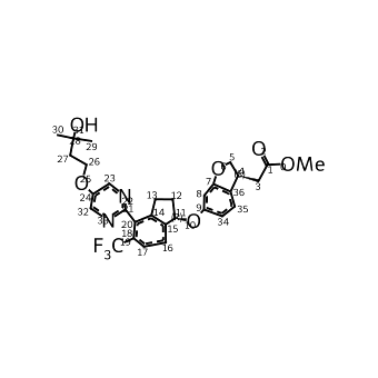 COC(=O)C[C@@H]1COc2cc(O[C@@H]3CCc4c3ccc(C(F)(F)F)c4-c3ncc(OCCC(C)(C)O)cn3)ccc21